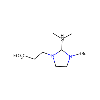 CCOC(=O)CCN1CCN(C(C)(C)C)C1[SiH](C)C